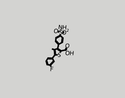 Cc1c(-c2cccc(F)c2)sc(C(=O)O)c1-c1ccc(S(N)(=O)=O)cc1